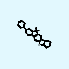 CC1(C)c2cc(-c3ccccc3)ccc2-c2cc3[pH]c4ccccc4c3cc21